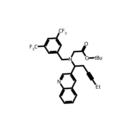 CCC#CCC(c1cnc2ccccc2c1)N(CC(=O)OC(C)(C)C)Cc1cc(C(F)(F)F)cc(C(F)(F)F)c1